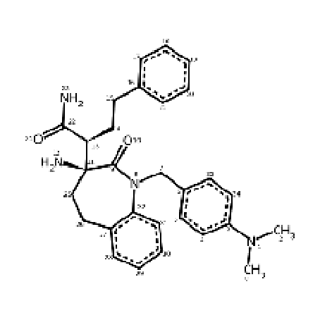 CN(C)c1ccc(CN2C(=O)[C@@](N)([C@H](CCc3ccccc3)C(N)=O)CCc3ccccc32)cc1